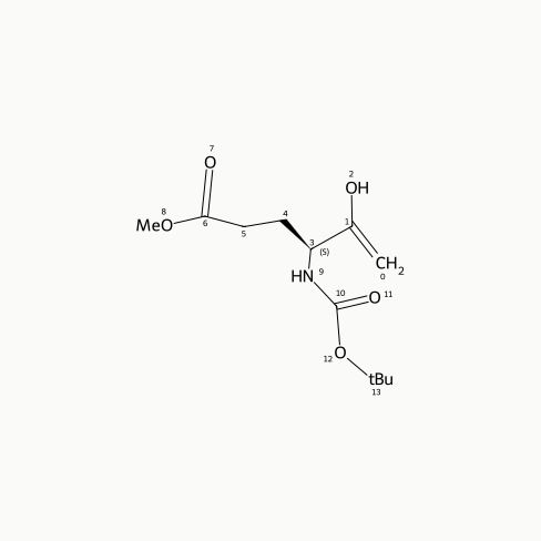 C=C(O)[C@H](CCC(=O)OC)NC(=O)OC(C)(C)C